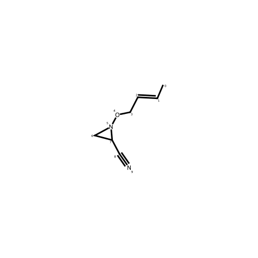 CC=CCON1CC1C#N